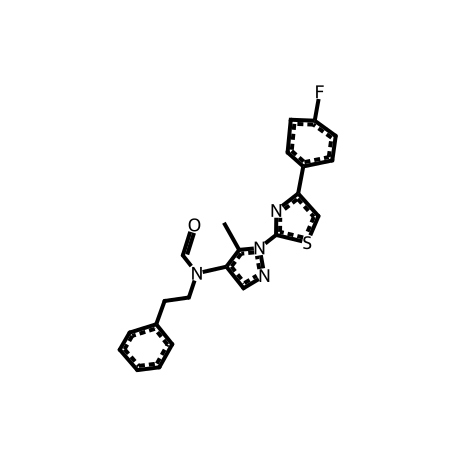 Cc1c(N(C=O)CCc2ccccc2)cnn1-c1nc(-c2ccc(F)cc2)cs1